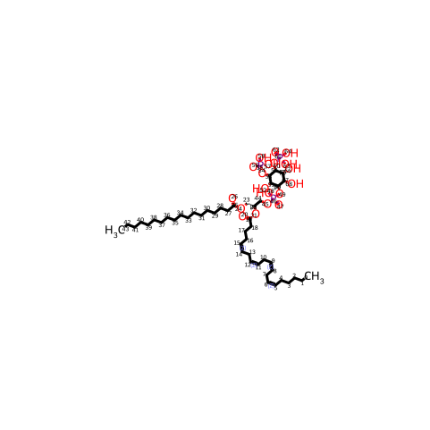 CCCCC/C=C\C/C=C\C/C=C\C/C=C\CCCC(=O)O[C@H](COC(=O)CCCCCCCCCCCCCCCCC)COP(=O)(O)O[C@H]1C(O)C(OP(=O)(O)O)C(OP(=O)(O)O)[C@@H](O)C1O